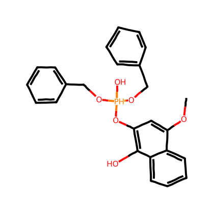 COc1cc(O[PH](O)(OCc2ccccc2)OCc2ccccc2)c(O)c2ccccc12